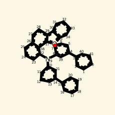 c1ccc(-c2cccc(N(c3cccc(-c4ccccc4)c3)c3cccc4ccc5c6ccccc6oc5c34)c2)cc1